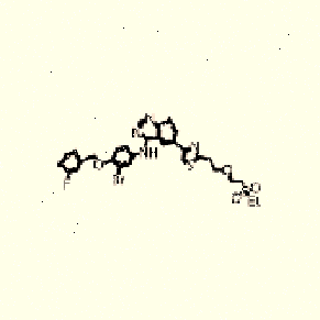 CCS(=O)(=O)CCOCCc1nc(-c2ccc3ncnc(Nc4ccc(OCc5cccc(F)c5)c(Br)c4)c3c2)cs1